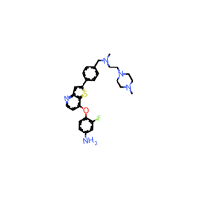 CN1CCN(CCN(C)Cc2ccc(-c3cc4nccc(Oc5ccc(N)cc5F)c4s3)cc2)CC1